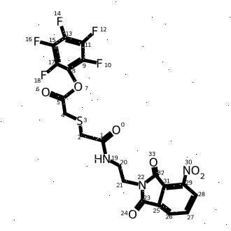 O=C(CSCC(=O)Oc1c(F)c(F)c(F)c(F)c1F)NCCN1C(=O)c2cccc([N+](=O)[O-])c2C1=O